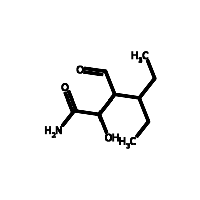 CCC(CC)C(C=O)C(O)C(N)=O